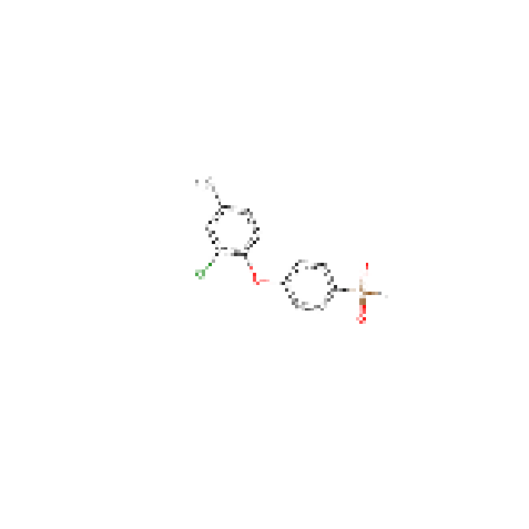 CS(=O)(=O)c1ccc(Oc2ccc(C(F)(F)F)cc2Cl)cc1